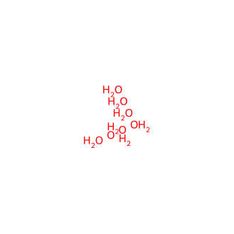 O.O.O.O.O.O.O